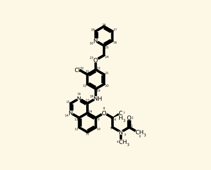 CC(=O)N(C)C[C@H](C)Oc1cccc2ncnc(Nc3ccc(OCc4ccccn4)c(Cl)c3)c12